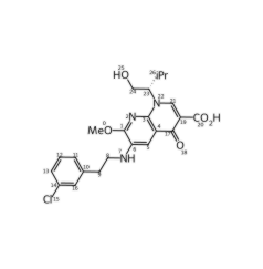 COc1nc2c(cc1NCCc1cccc(Cl)c1)c(=O)c(C(=O)O)cn2[C@H](CO)C(C)C